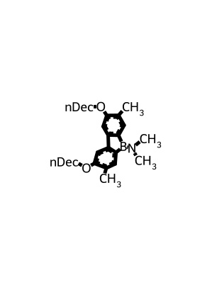 CCCCCCCCCCOc1cc2c(cc1C)B(N(C)C)c1cc(C)c(OCCCCCCCCCC)cc1-2